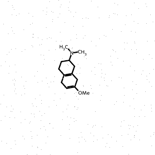 COC1=CCC2=C(C1)CC(N(C)C)CC2